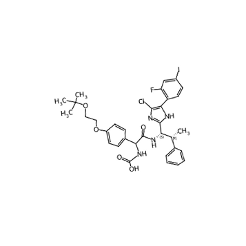 C[C@H](c1ccccc1)[C@H](NC(=O)C(NC(=O)O)c1ccc(OCCOC(C)(C)C)cc1)c1nc(Cl)c(-c2ccc(I)cc2F)[nH]1